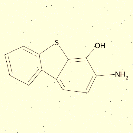 Nc1ccc2c(sc3ccccc32)c1O